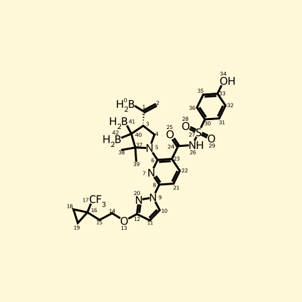 BC(=C)[C@@H]1CN(c2nc(-n3ccc(OCCC4(C(F)(F)F)CC4)n3)ccc2C(=O)NS(=O)(=O)c2ccc(O)cc2)C(C)(C)C1(B)B